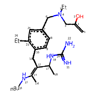 C=C(O)CN(CC)Cc1ccc(C/C(=C(/C)NCCCC)C(C)NC(=N)N)c(CC)c1